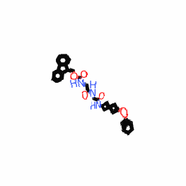 O=C(CNC(=O)OCC1c2ccccc2-c2ccccc21)NCC(=O)NC1CC2(C1)CC(Oc1ccccc1)C2